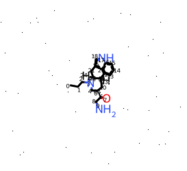 CCCN1C[C@H](C(=O)CN)C[C@@H]2c3cccc4[nH]cc(c34)C[C@H]21